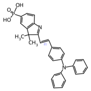 CC1(C)C(/C=C/c2ccc(N(c3ccccc3)c3ccccc3)cc2)=Nc2ccc(P(=O)(O)O)cc21